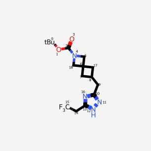 CC(C)(C)OC(=O)N1CC2(CC(Cc3n[nH]c(CC(F)(F)F)n3)C2)C1